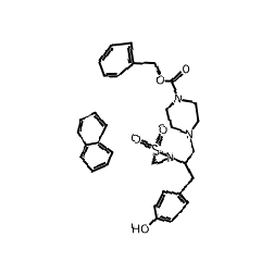 O=C(OCc1ccccc1)N1CCN(CC(Cc2ccc(O)cc2)N2CS2(=O)=O)CC1.c1ccc2ccccc2c1